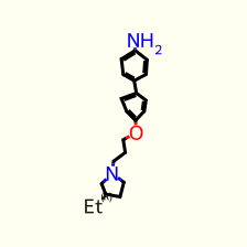 CC[C@@H]1CCN(CCCOc2ccc(-c3ccc(N)cc3)cc2)C1